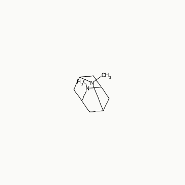 CN1C2CC3CC1CC(C2)N3C